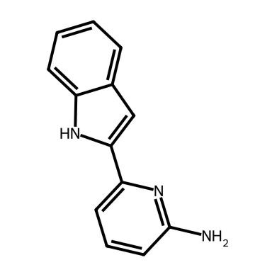 Nc1cccc(-c2cc3ccccc3[nH]2)n1